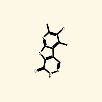 Cc1nc2sc3c(=O)[nH]ncc3c2c(C)c1Cl